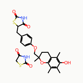 Cc1c(C)c2c(c(C)c1O)CCC(C)(COc1ccc(CC3SC(=O)NC3=O)cc1)O2.O=C1CSC(=O)N1